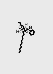 CCCCCCCCCCCCC(CCCC)(NS(=O)(=O)c1ccccc1)C(=O)O